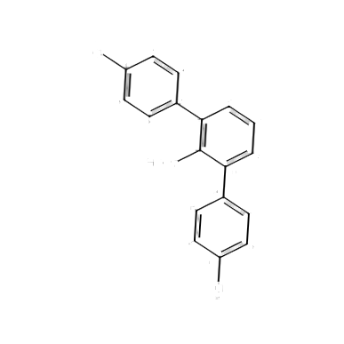 O=S(=O)(O)c1c(-c2ccc(Cl)cc2)cccc1-c1ccc(Cl)cc1